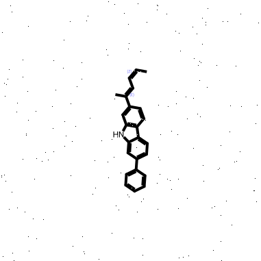 C/C=C\C=C(/C)c1ccc2c(c1)[nH]c1cc(-c3ccccc3)ccc12